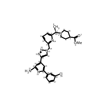 COC(=O)C1CCN([C@H](C)c2cccc(Cn3cc(-c4cc(N)nc(-c5cccc(Cl)c5)c4)nn3)n2)CC1